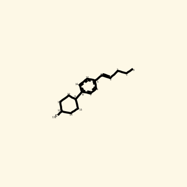 CCC/C=C/c1ccc(C2CCC(F)CC2)cc1